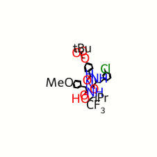 COc1ccc([C@H](NC(=O)[C@H](Cc2cccc(Cl)c2)NC(=O)c2ccc(OCC(=O)OC(C)(C)C)cc2)C(=O)N[C@@H](C(C)C)[C@H](O)C(F)(F)F)cc1